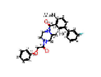 CNc1ccc(-c2cccc(F)c2)cc1C(=O)N1CCN(C(=O)COc2ccccc2)CC1C=O